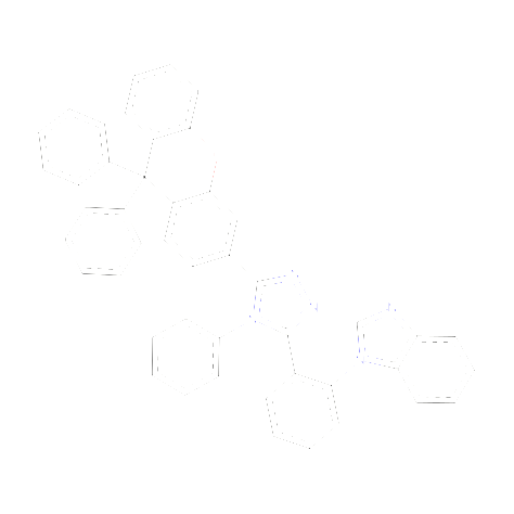 c1ccc(-n2c(-c3ccc4c(c3)Oc3ccccc3C4(c3ccccc3)c3ccccc3)nnc2-c2ccccc2-n2cnc3ccccc32)cc1